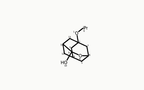 CC(C)OC12CC3CC(C1)OC(O)C(C3)C2